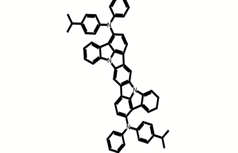 CC(C)c1ccc(N(c2ccccc2)c2ccc3c4cc5c(cc4n4c6c(c2c34)=CCCC=6)c2ccc(N(c3ccccc3)c3ccc(C(C)C)cc3)c3c4ccccc4n5c23)cc1